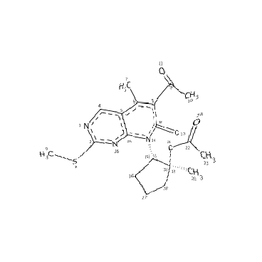 CSc1ncc2c(C)c(C(C)=O)c(=O)n([C@H]3CCC[C@]3(C)OC(C)=O)c2n1